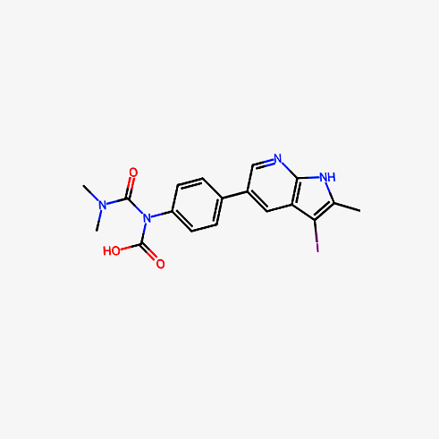 Cc1[nH]c2ncc(-c3ccc(N(C(=O)O)C(=O)N(C)C)cc3)cc2c1I